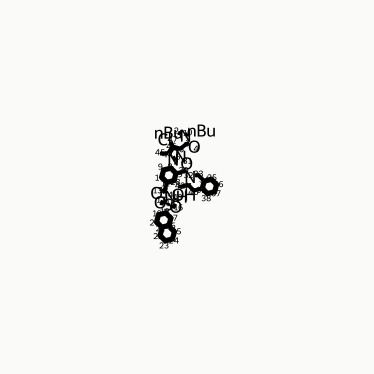 CCCCN(CCCC)C(=O)c1nn(-c2ccc(C(=O)NS(=O)(=O)c3ccc4ccccc4c3)cc2C(=O)N2Cc3ccccc3CC2CO)c(C)c1Cl